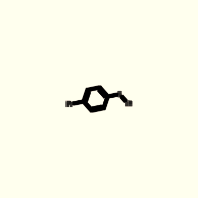 CCSc1ccc(C(C)C)cc1